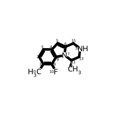 Cc1ccc2cc3n(c2c1F)[C@H](C)CNC3